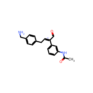 CC(=O)Nc1cccc(/C(C=O)=C\Cc2ccc(CN)cc2)c1